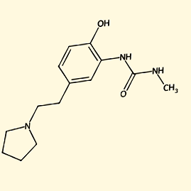 CNC(=O)Nc1cc(CCN2CCCC2)ccc1O